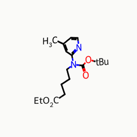 CCOC(=O)CCCCN(C(=O)OC(C)(C)C)c1cc(C)ccn1